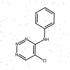 Clc1[c]nnnc1Nc1ccccc1